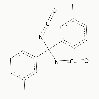 Cc1cccc(C(N=C=O)(N=C=O)c2cccc(C)c2)c1